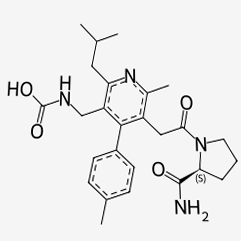 Cc1ccc(-c2c(CC(=O)N3CCC[C@H]3C(N)=O)c(C)nc(CC(C)C)c2CNC(=O)O)cc1